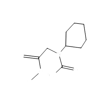 CC(C)COC(=O)N(CC(=O)OCl)C1CCCCC1